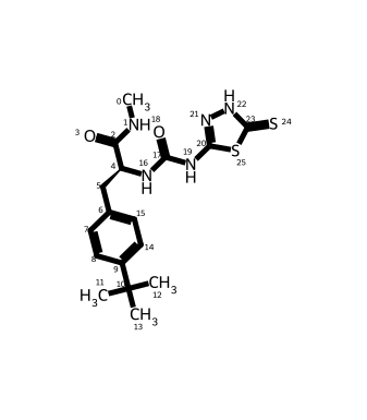 CNC(=O)[C@H](Cc1ccc(C(C)(C)C)cc1)NC(=O)Nc1n[nH]c(=S)s1